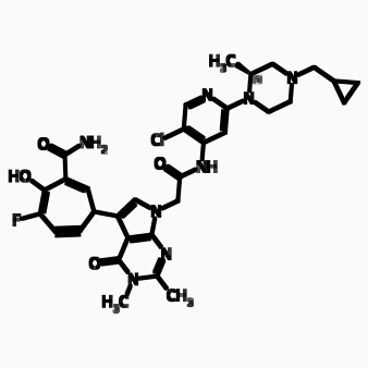 Cc1nc2c(c(C3C#CC(F)=C(O)C(C(N)=O)=C3)cn2CC(=O)Nc2cc(N3CCN(CC4CC4)C[C@@H]3C)ncc2Cl)c(=O)n1C